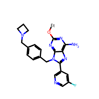 CCOc1nc(N)c2nc(-c3cncc(F)c3)n(Cc3ccc(CN4CCC4)cc3)c2n1